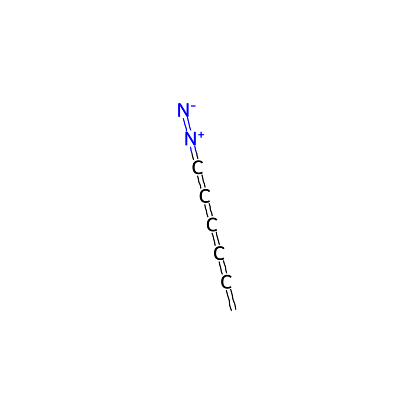 C=C=C=C=C=C=[N+]=[N-]